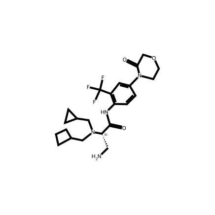 NC[C@@H](C(=O)Nc1ccc(N2CCOCC2=O)cc1C(F)(F)F)N(CC1CCC1)CC1CC1